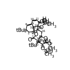 CCCCCC(=O)O[C@H]1C[C@H](C(C)(C)C)C=C2C=C[C@H](C)[C@](CC[C@@H]3C[C@H](C(C)(C)C)C(O[SiH](C)C)C(=O)O3)(O[SiH](C)C)[C@H]21